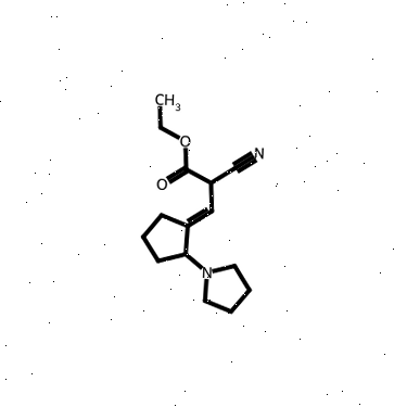 CCOC(=O)C(C#N)C=C1CCCC1N1CCCC1